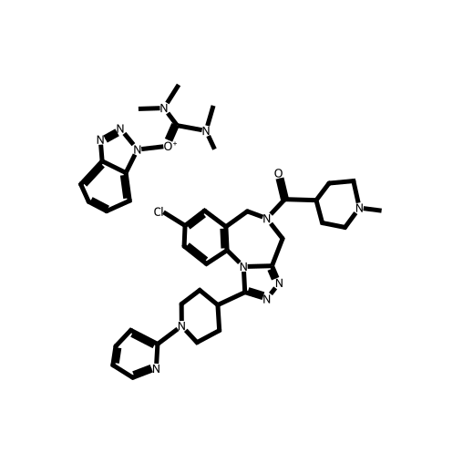 CN(C)C(=[O+]n1nnc2ccccc21)N(C)C.CN1CCC(C(=O)N2Cc3cc(Cl)ccc3-n3c(nnc3C3CCN(c4ccccn4)CC3)C2)CC1